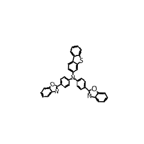 c1ccc2oc(-c3ccc(N(c4ccc(-c5nc6ccccc6o5)cc4)c4ccc5c(c4)sc4ccccc45)cc3)nc2c1